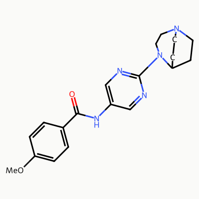 COc1ccc(C(=O)Nc2cnc(N3CCN4CCC3CC4)nc2)cc1